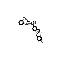 O=C(NCC1COc2ccccc2O1)c1ccc2c(ccn2Cc2ccc(F)cc2F)c1